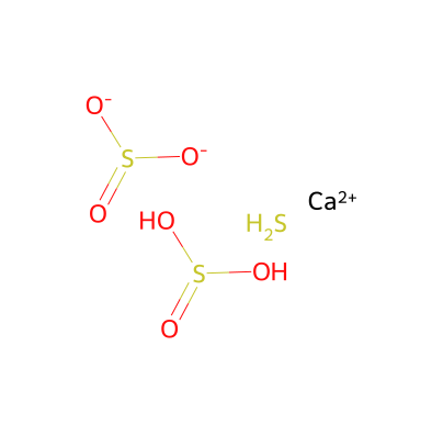 O=S(O)O.O=S([O-])[O-].S.[Ca+2]